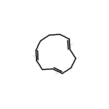 [CH]1/C=C/C/C=C\CCC/C=C/C1